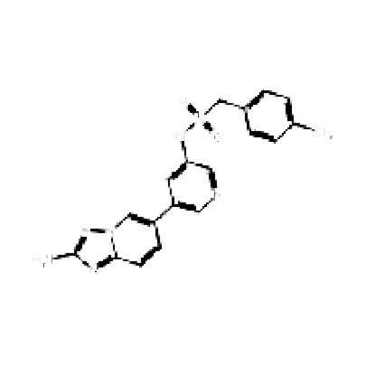 Nc1nc2ccc(-c3cncc(NS(=O)(=O)Cc4ccc(C(F)(F)F)cc4)c3)cn2n1